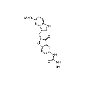 COc1ccc2[nH]cc(C=C3Oc4ccc(NC(=O)NC(C)C)cc4C3=O)c2c1